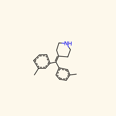 Cc1cccc(C(=C2CCNCC2)c2cccc(C)c2)c1